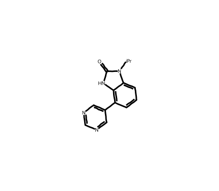 CC(C)n1c(=O)[nH]c2c(-c3cncnc3)cccc21